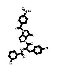 O=C(NC(Cc1ccc(O)cc1)C(=O)N1CCC2C1C(=O)CN2C(=O)c1ccc([N+](=O)[O-])cc1)c1cccc(Br)c1